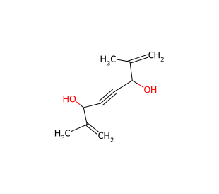 C=C(C)C(O)C#CC(O)C(=C)C